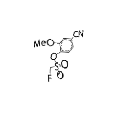 COc1cc(C#N)ccc1OS(=O)(=O)CF